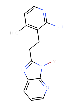 Cc1ccnc(N)c1CCc1nc2cccnc2n1Br